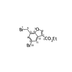 CCOC(=O)c1coc2c(CBr)cc(Br)cc12